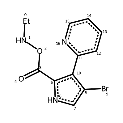 CCNOC(=O)c1[nH]cc(Br)c1-c1ccccn1